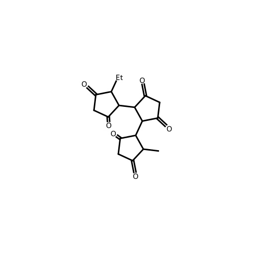 CCC1C(=O)CC(=O)C1C1C(=O)CC(=O)C1C1C(=O)CC(=O)C1C